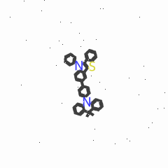 CC1(C)c2ccccc2N(c2ccc(-c3ccc4c(c3)c3sc5ccccc5c3n4-c3ccccc3)cc2)c2ccccc21